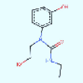 CCNC(=O)N(CCO)c1cccc(O)c1